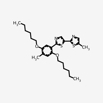 CCCCCCOc1cc(-c2ncc(-c3ncc(C)s3)s2)c(OCCCCCC)cc1C